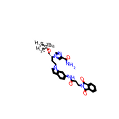 CC(C)(C)[Si](C)(C)OC[C@@H](CCn1ccc2ccc(NC(=O)CCN3C(=O)c4ccccc4C3=O)cc21)n1cnc(C(N)=O)c1